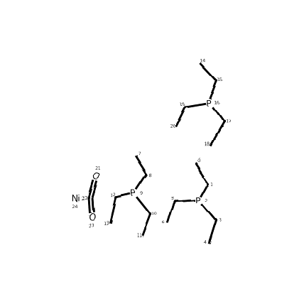 CCP(CC)CC.CCP(CC)CC.CCP(CC)CC.O=C=O.[Ni]